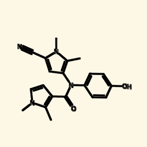 Cc1c(C(=O)N(c2ccc(O)cc2)c2cc(C#N)n(C)c2C)ccn1C